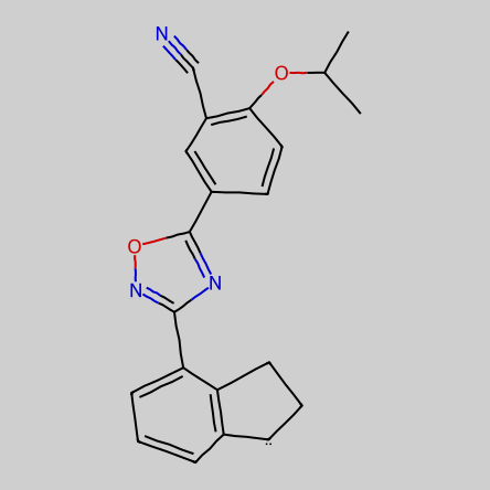 CC(C)Oc1ccc(-c2nc(-c3cccc4c3CC[C]4)no2)cc1C#N